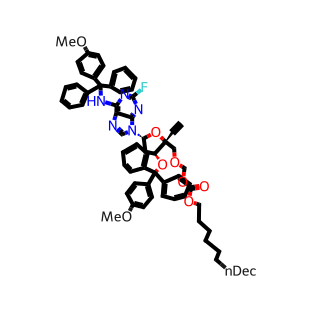 C#C[C@]1(COCOC(=O)OCCCCCCCCCCCCCCCC)O[C@@H](n2cnc3c(NC(c4ccccc4)(c4ccccc4)c4ccc(OC)cc4)nc(F)nc32)C[C@@H]1OC(c1ccccc1)(c1ccccc1)c1ccc(OC)cc1